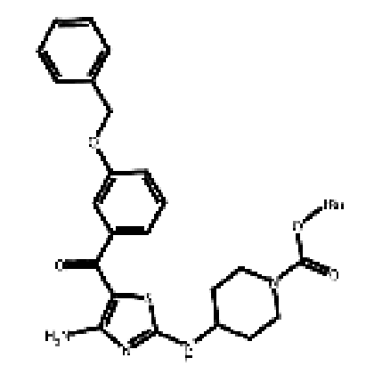 CC(C)(C)OC(=O)N1CCC(Nc2nc(N)c(C(=O)c3cccc(OCc4ccccc4)c3)s2)CC1